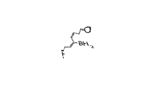 BC(/C=C\CC=O)=C/CF